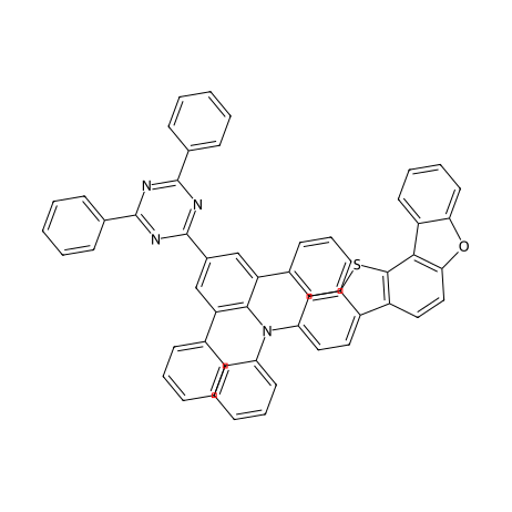 c1ccc(-c2nc(-c3ccccc3)nc(-c3cc(-c4ccccc4)c(N(c4ccccc4)c4ccc5c(c4)sc4c5ccc5oc6ccccc6c54)c(-c4ccccc4)c3)n2)cc1